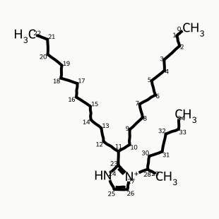 CCCCCCCCCCCC(CCCCCCCCCCC)c1[nH]cc[n+]1C(C)CCCCC